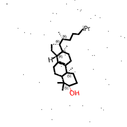 CC(C)CCC[C@@H](C)[C@H]1CC[C@H]2C3=C(CC[C@]12C)[C@@]1(C)CC[C@H](O)C(C)(C)C1CC3